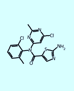 Cc1nc(Cl)cc(N(C(=O)c2cnc(N)s2)c2c(C)cccc2Cl)n1